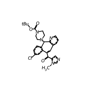 Cn1cncc1C(=O)C1=Cc2cccnc2C(N2CCN(C(=O)OC(C)(C)C)CC2)c2ccc(Cl)cc21